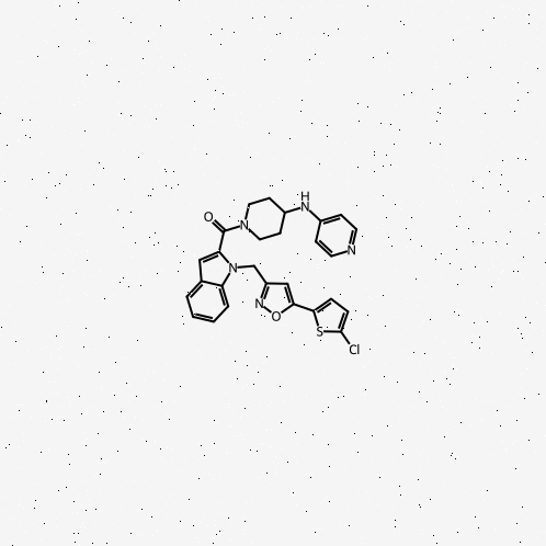 O=C(c1cc2ccccc2n1Cc1cc(-c2ccc(Cl)s2)on1)N1CCC(Nc2ccncc2)CC1